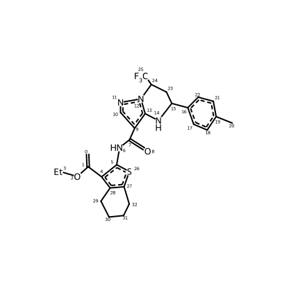 C=C(OCC)c1c(NC(=O)c2cnn3c2NC(c2ccc(C)cc2)CC3C(F)(F)F)sc2c1CCCC2